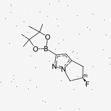 CC1(C)OB(c2cc3n(n2)C[C@H](F)C3)OC1(C)C